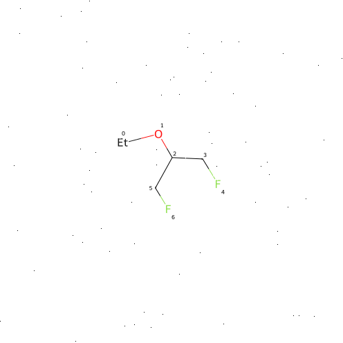 CCOC(CF)CF